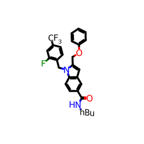 CCCCNC(=O)c1ccc2c(c1)cc(COc1ccccc1)n2Cc1ccc(C(F)(F)F)cc1F